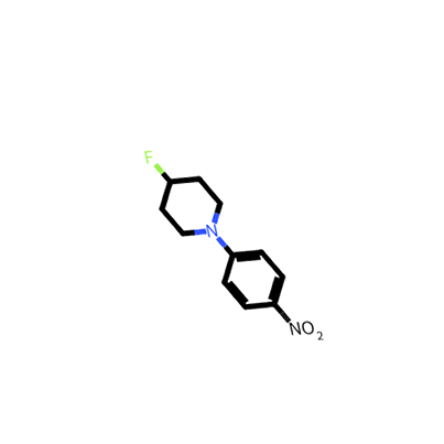 O=[N+]([O-])c1ccc(N2CCC(F)CC2)cc1